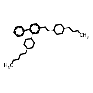 CCCCC[C@H]1CC[C@H](c2cc(CC[C@H]3CC[C@H](CCCC)CC3)ccc2-c2ccccc2)CC1